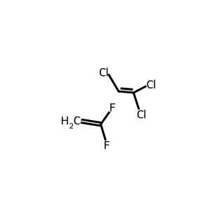 C=C(F)F.ClC=C(Cl)Cl